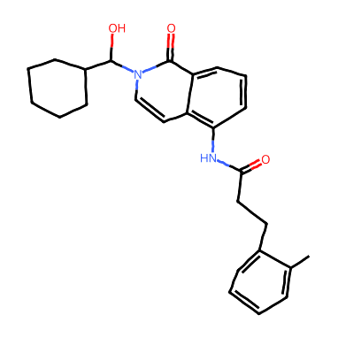 Cc1ccccc1CCC(=O)Nc1cccc2c(=O)n(C(O)C3CCCCC3)ccc12